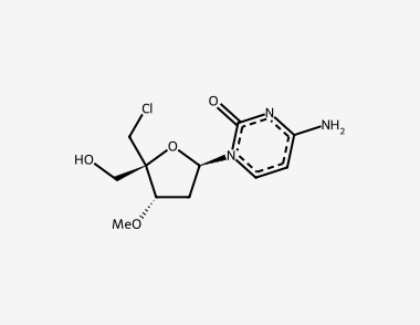 CO[C@H]1C[C@H](n2ccc(N)nc2=O)O[C@@]1(CO)CCl